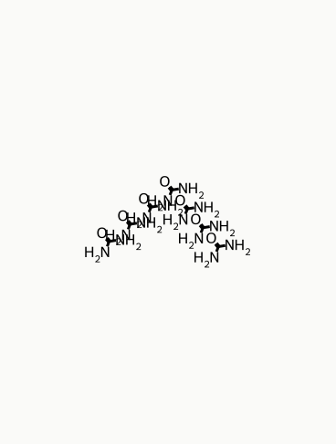 NC(N)=O.NC(N)=O.NC(N)=O.NC(N)=O.NC(N)=O.NC(N)=O.NC(N)=O